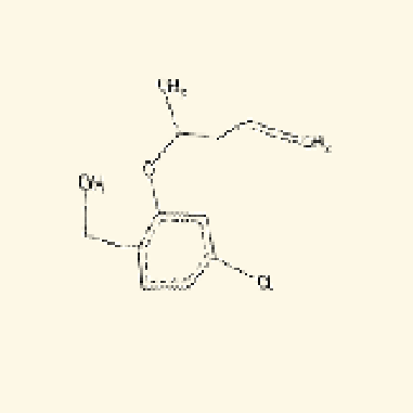 C=CCC(C)Oc1cc(Cl)ccc1CO